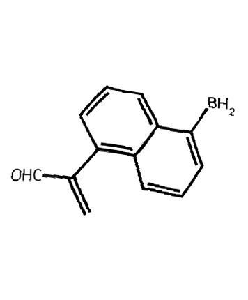 Bc1cccc2c(C(=C)C=O)cccc12